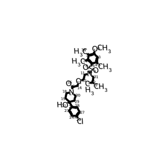 COc1cc(C)c(S(=O)(=O)N(CCOCC(=O)N2CCC(O)(c3ccc(Cl)cc3)CC2)CC(C)C)c(C)c1C